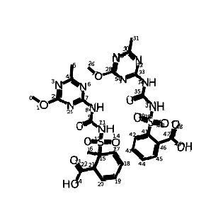 COc1nc(C)nc(NC(=O)NS(=O)(=O)C2(C)C=CC=CC2C(=O)O)n1.COc1nc(C)nc(NC(=O)NS(=O)(=O)c2ccccc2C(=O)O)n1